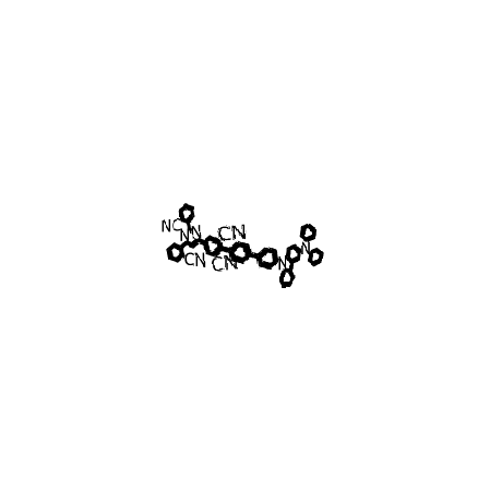 N#Cc1ccccc1-c1cc(-c2cc(C#N)c(-c3ccc(-c4ccc(-n5c6ccccc6c6cc(N(c7ccccc7)c7ccccc7)ccc65)cc4)cc3)c(C#N)c2)nc(-c2ccccc2C#N)n1